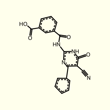 N#Cc1c(-c2ccccc2)nc(NC(=O)c2cccc(C(=O)O)c2)[nH]c1=O